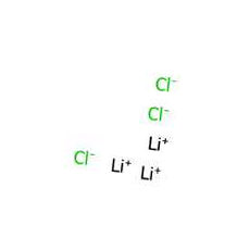 [Cl-].[Cl-].[Cl-].[Li+].[Li+].[Li+]